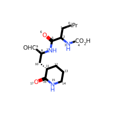 CC(C)CC(NC(=O)O)C(=O)NC(C=O)C[C@@H]1CCCNC1=O